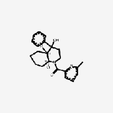 Cc1cccc(C(=O)N2CCC(O)(c3ccccc3)[C@H]3CCCC[C@@H]32)n1